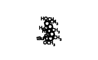 CC1(C)C2CC[C@]3(C)C(C(=O)C=C4C5C[C@@](C)(C(=O)N(O)C(C)(C)C)CC[C@]5(C)CC[C@]43C)[C@@]2(C)CC[C@@H]1O